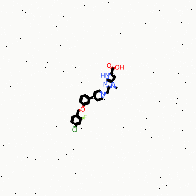 Cn1c(CN2CC=C(c3cccc(OCc4ccc(Cl)cc4F)c3)CC2)nc2[nH]c(C(=O)O)cc21